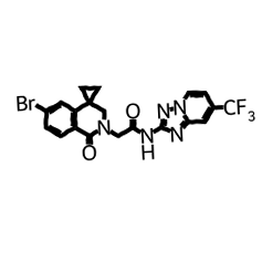 O=C(CN1CC2(CC2)c2cc(Br)ccc2C1=O)Nc1nc2cc(C(F)(F)F)ccn2n1